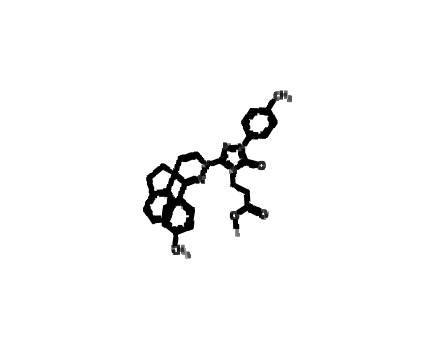 Cc1ccc(C2=NN(c3nn(-c4ccc(C)cc4)c(=O)n3CCC(=O)OI)C=C[C@]23CCc2ccccc23)cc1